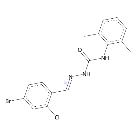 Cc1cccc(C)c1NC(=O)N/N=C/c1ccc(Br)cc1Cl